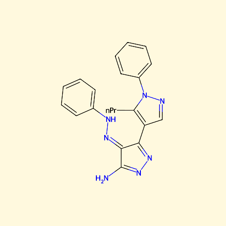 CCCc1c(C2=NN=C(N)C2=NNc2ccccc2)cnn1-c1ccccc1